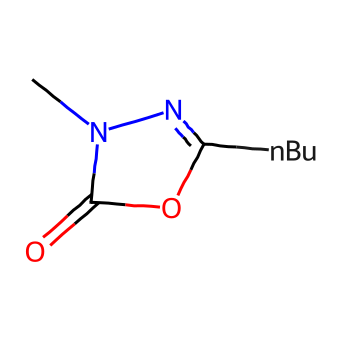 CCCCc1nn(C)c(=O)o1